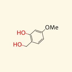 COc1ccc(CO)c(O)c1